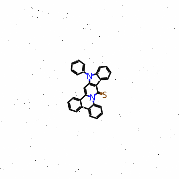 S=c1c2c3ccccc3n(-c3ccccc3)c2cc2c3ccccc3c3ccccc3n12